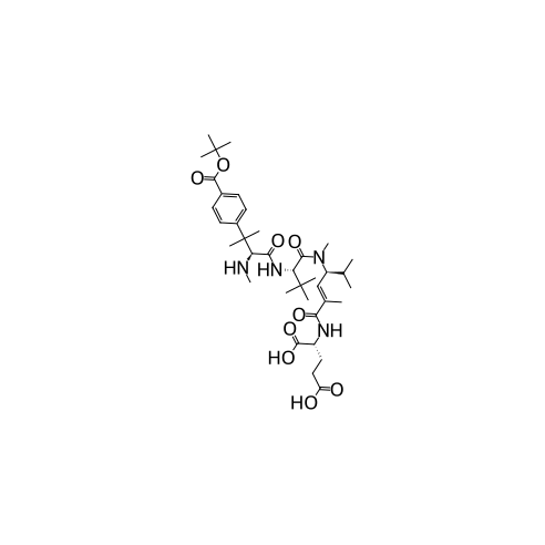 CN[C@H](C(=O)N[C@H](C(=O)N(C)[C@H](/C=C(\C)C(=O)N[C@H](CCC(=O)O)C(=O)O)C(C)C)C(C)(C)C)C(C)(C)c1ccc(C(=O)OC(C)(C)C)cc1